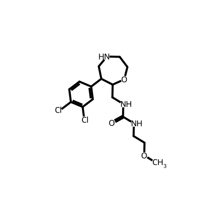 COCCNC(=O)NCC1OCCNCC1c1ccc(Cl)c(Cl)c1